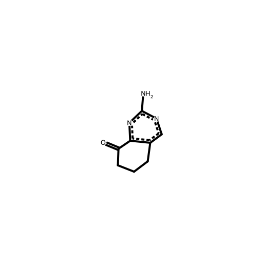 Nc1ncc2c(n1)C(=O)CCC2